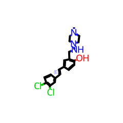 CN1CCN(NCc2cc(/C=C/c3ccc(Cl)c(Cl)c3)ccc2O)CC1